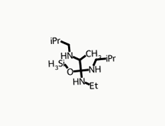 CCNC(NCC(C)C)(O[SiH3])C(C)NCC(C)C